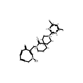 C=C1/C=C\C=C/CN(CC)/C=C\1CN1CCCC2(CCN(c3nc(C)cc(C)n3)CC2)C1=O